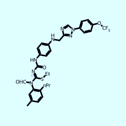 CCCc1ccc(C)cc1N(C=O)/C(=N/C(=O)Nc1ccc(NCc2ncn(-c3ccc(OC(F)(F)F)cc3)n2)cc1)SCC